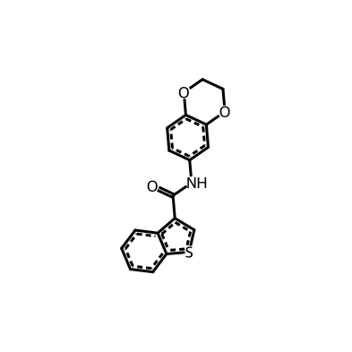 O=C(Nc1ccc2c(c1)OCCO2)c1csc2ccccc12